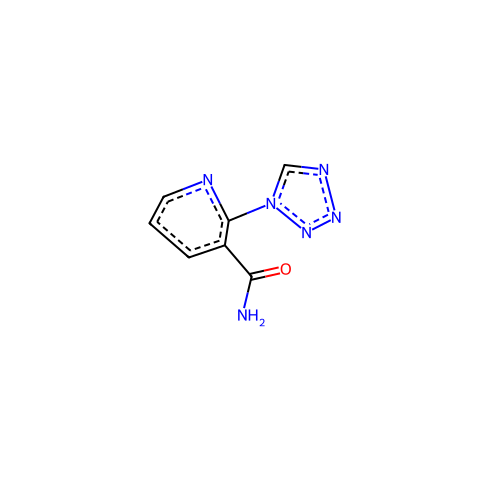 NC(=O)c1cccnc1-n1cnnn1